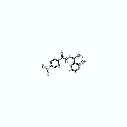 CC(=NNC(=O)c1ccc([N+](=O)[O-])cn1)c1ccccc1O